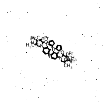 CCCC(C)(C)C(=O)N(CC(C)CC(C)C)c1ccc(F)[c]([Ti]([C]2=CC=CC2)([C]2=CC=CC2)[c]2c(F)ccc(N(CC(C)CC(C)C)C(=O)C(C)(C)CCC)c2F)c1F